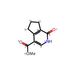 COC(=O)c1c[nH]c(=O)c2c1CCC2